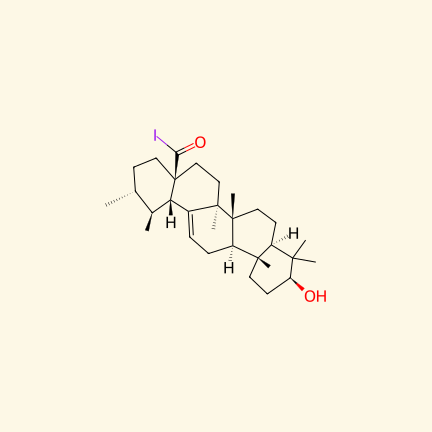 C[C@H]1[C@H](C)CC[C@]2(C(=O)I)CC[C@]3(C)C(=CC[C@@H]4[C@@]5(C)CC[C@H](O)C(C)(C)[C@@H]5CC[C@]43C)[C@H]12